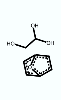 OCC(O)O.c1cc2ccc1o2